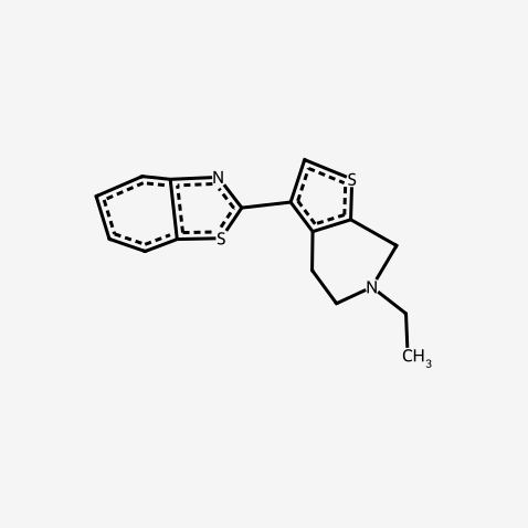 CCN1CCc2c(-c3nc4ccccc4s3)csc2C1